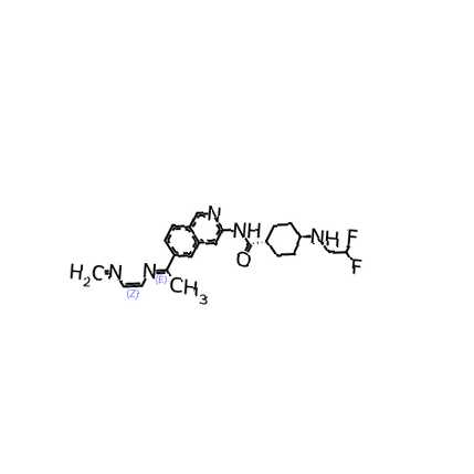 C=N/C=C\N=C(/C)c1ccc2cnc(NC(=O)[C@H]3CC[C@H](NCC(F)F)CC3)cc2c1